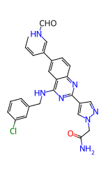 C/C=C\C(=C/NC=O)c1ccc2nc(-c3cnn(CC(N)=O)c3)nc(NCc3cccc(Cl)c3)c2c1